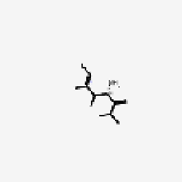 C=C(C(C)C)[C@@H](N)C(C)/C(C)=C/I